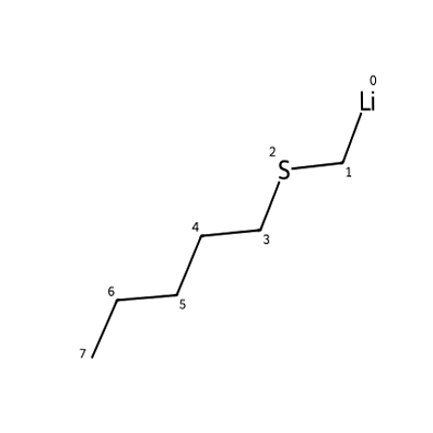 [Li][CH2]SCCCCC